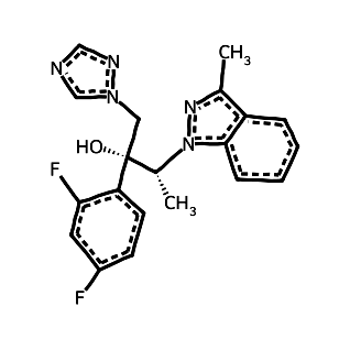 Cc1nn([C@H](C)[C@](O)(Cn2cncn2)c2ccc(F)cc2F)c2ccccc12